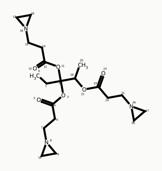 CCC(OC(=O)CCN1CC1)(OC(=O)CCN1CC1)C(C)OC(=O)CCN1CC1